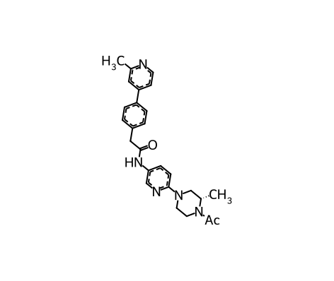 CC(=O)N1CCN(c2ccc(NC(=O)Cc3ccc(-c4ccnc(C)c4)cc3)cn2)C[C@@H]1C